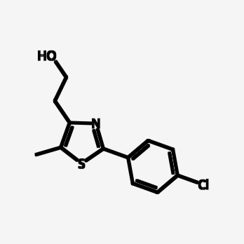 Cc1sc(-c2ccc(Cl)cc2)nc1CCO